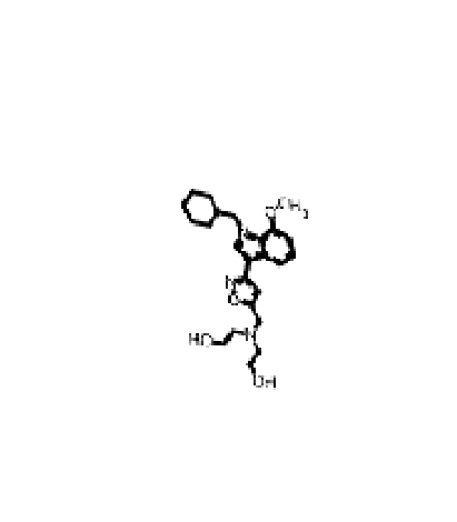 COc1cccc2c(-c3cc(CN(CCO)CCO)on3)cn(CC3CCCCC3)c12